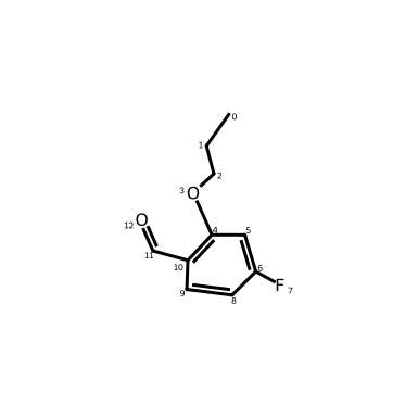 CCCOc1cc(F)ccc1C=O